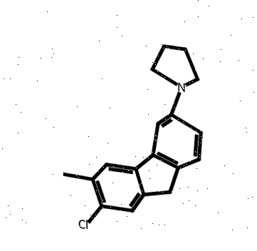 Cc1cc2c(cc1Cl)Cc1ccc(N3CCCC3)cc1-2